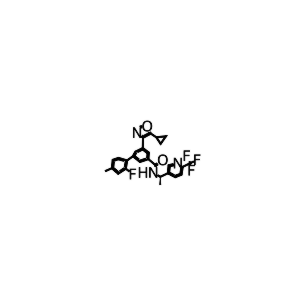 Cc1ccc(-c2cc(C(=O)N[C@H](C)c3ccc(C(F)(F)F)nc3)cc(-c3ncoc3C3CC3)c2)c(F)c1